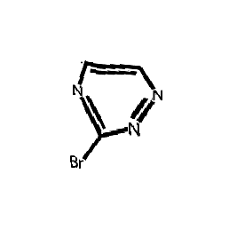 Brc1n[c]cnn1